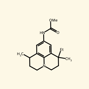 CCC1(C)CCN2CCC(C)c3cc(NC(=O)OC)cc1c32